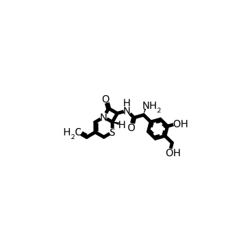 C=CC1=CN2C(=O)C(NC(=O)[C@H](N)c3ccc(CO)c(O)c3)[C@@H]2SC1